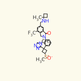 Cn1cnnc1C1(c2cccc(N3Cc4c(cc(CNC5(C)CCC5)cc4C(F)(F)F)C3=O)c2)CC([S@@+](C)[O-])C1